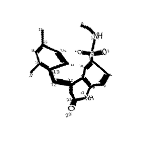 CNS(=O)(=O)c1ccc2c(c1)C(=Cc1ccc(C)cc1C)C(=O)N2